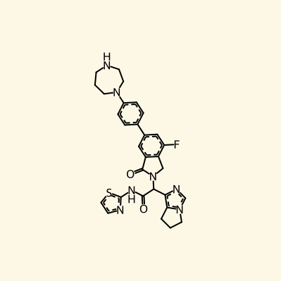 O=C(Nc1nccs1)C(c1ncn2c1CCC2)N1Cc2c(F)cc(-c3ccc(N4CCCNCC4)cc3)cc2C1=O